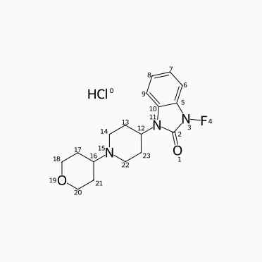 Cl.O=c1n(F)c2ccccc2n1C1CCN(C2CCOCC2)CC1